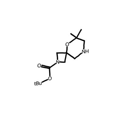 CC(C)(C)OC(=O)N1CC2(CNCC(C)(C)O2)C1